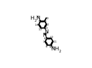 Cc1cc(N=Nc2ccc(N)cc2)ccc1N